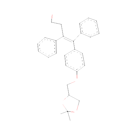 CC1(C)OCC(COc2ccc(C(=C(CCO)c3ccccc3)c3ccccc3)cc2)O1